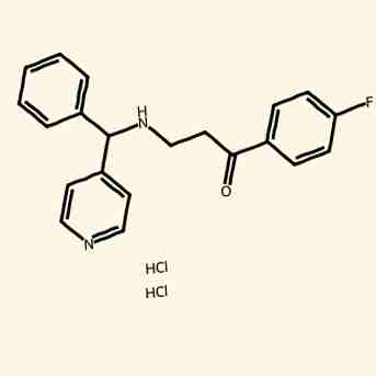 Cl.Cl.O=C(CCNC(c1ccccc1)c1ccncc1)c1ccc(F)cc1